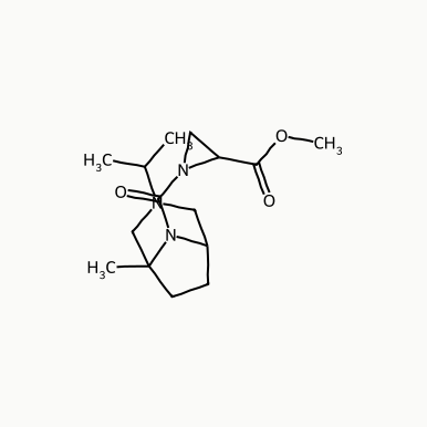 COC(=O)C1CN1C(=O)N1C2CCC1(C)CN(C(C)C)C2